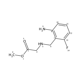 COC(=O)CNCc1c(N)cccc1F